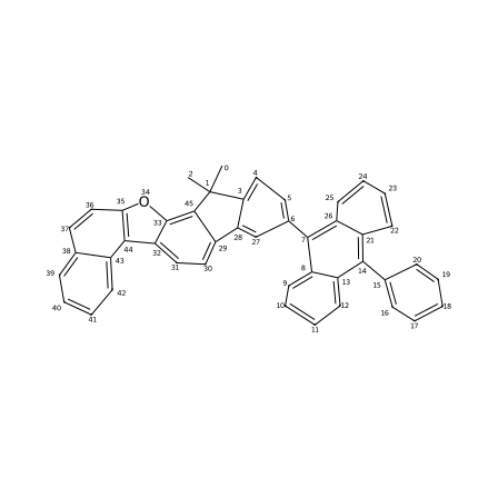 CC1(C)c2ccc(-c3c4ccccc4c(-c4ccccc4)c4ccccc34)cc2-c2ccc3c(oc4ccc5ccccc5c43)c21